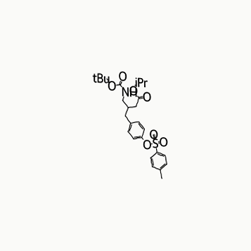 Cc1ccc(S(=O)(=O)Oc2ccc(CC(CNC(=O)OC(C)(C)C)CC(=O)OC(C)C)cc2)cc1